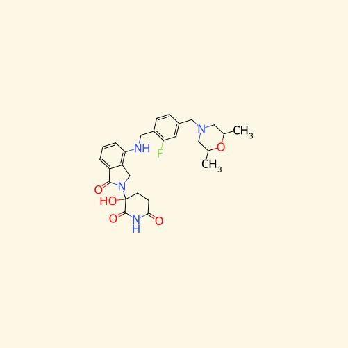 CC1CN(Cc2ccc(CNc3cccc4c3CN(C3(O)CCC(=O)NC3=O)C4=O)c(F)c2)CC(C)O1